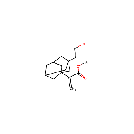 C=C(C(=O)OCCC)C12CC3CC(CC(CCO)(C3)C1)C2